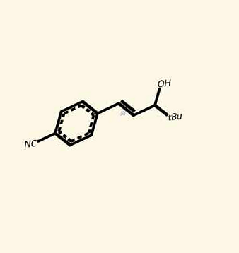 CC(C)(C)C(O)/C=C/c1ccc(C#N)cc1